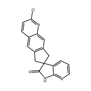 O=C1Nc2ncccc2C12Cc1cc3ccc(Cl)nc3cc1C2